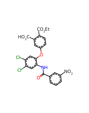 CCOC(=O)c1ccc(Oc2cc(Cl)c(Cl)cc2NC(=O)c2cccc([N+](=O)[O-])c2)cc1C(=O)O